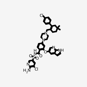 CC1(C)CCC(CN2CCN(c3ccc(C(=O)NS(=O)(=O)c4cnc(N)c(Cl)c4)c(Oc4cnc5[nH]ccc5c4)c3)CC2)=C(c2ccc(Cl)cc2)C1